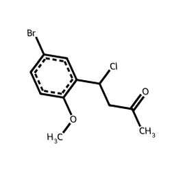 COc1ccc(Br)cc1C(Cl)CC(C)=O